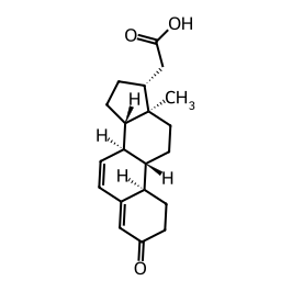 C[C@]12CC[C@H]3[C@@H](C=CC4=CC(=O)CC[C@@H]43)[C@@H]1CC[C@@H]2CC(=O)O